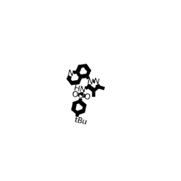 Cc1nn(-c2cccc3ncccc23)c(NS(=O)(=O)c2ccc(C(C)(C)C)cc2)c1C